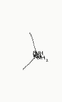 CCCCCCCC/C=C/CCCCCCCC(=O)NC(CCN)C(=O)NCCC/C=C/CCCCCCCCCCC